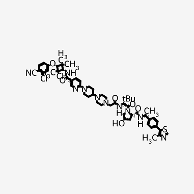 Cc1ncsc1-c1ccc([C@H](C)NC(=O)[C@@H]2C[C@@H](O)CN2C(=O)[C@@H](NC(=O)CN2CCN(C3CCN(c4ccc(C(=O)N[C@H]5C(C)(C)[C@H](Oc6ccc(C#N)c(Cl)c6)C5(C)C)cn4)CC3)CC2)C(C)(C)C)cc1